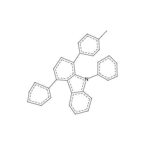 Cc1ccc(-c2ccc(-c3ccccc3)c3c4ccccc4n(-c4ccccc4)c23)cc1